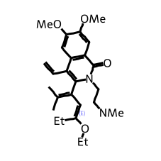 C=Cc1c(C(/C=C(\CC)OCC)=C(C)C)n(CCNC)c(=O)c2cc(OC)c(OC)cc12